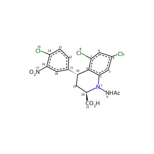 CC(=O)NN1c2cc(Cl)cc(Cl)c2[C@@H](c2ccc(Cl)c([N+](=O)[O-])c2)C[C@@H]1C(=O)O